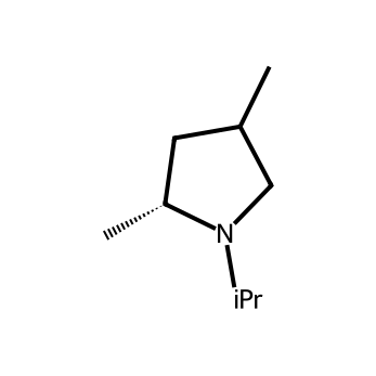 CC1C[C@@H](C)N(C(C)C)C1